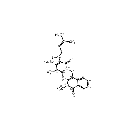 CC(C)=CCN1CN(Cl)c2c1c(=O)n(Cc1nn(C)c(=O)c3ccccc13)c(=O)n2C